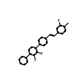 Cc1ccc(/C=C/c2ccc(-c3ccc(-c4ccccc4)c(F)c3F)cc2)cc1F